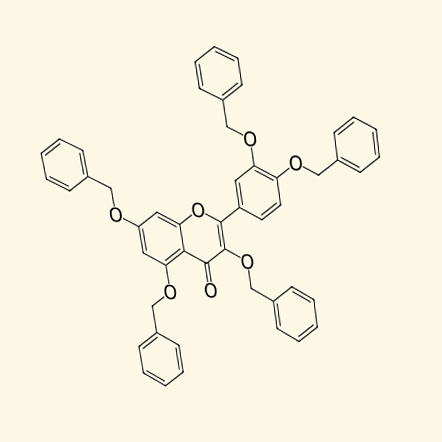 O=c1c(OCc2ccccc2)c(-c2ccc(OCc3ccccc3)c(OCc3ccccc3)c2)oc2cc(OCc3ccccc3)cc(OCc3ccccc3)c12